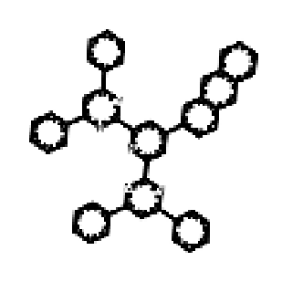 c1ccc(-c2cc(-c3ccccc3)nc(-c3cc(-c4ccc5cc6ccccc6cc5c4)cc(-c4nc(-c5ccccc5)cc(-c5ccccc5)n4)n3)n2)cc1